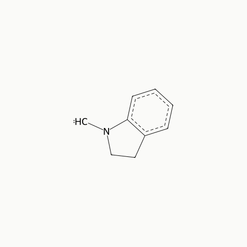 [CH]N1CCc2ccccc21